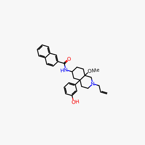 C=CCN1CCC2(c3cccc(O)c3)CC(NC(=O)c3ccc4ccccc4c3)CCC2(OC)C1